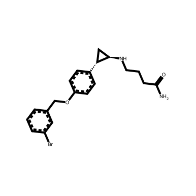 NC(=O)CCCN[C@@H]1C[C@H]1c1ccc(OCc2cccc(Br)c2)cc1